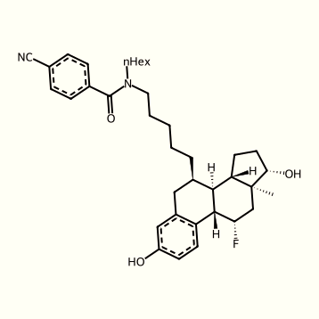 CCCCCCN(CCCCC[C@@H]1Cc2cc(O)ccc2[C@@H]2[C@@H]1[C@@H]1CC[C@H](O)[C@@]1(C)C[C@@H]2F)C(=O)c1ccc(C#N)cc1